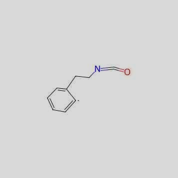 O=C=NCCc1[c]cccc1